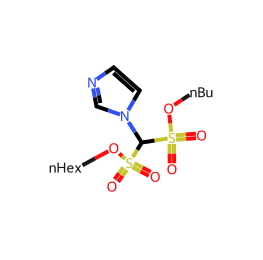 CCCCCCOS(=O)(=O)C(n1ccnc1)S(=O)(=O)OCCCC